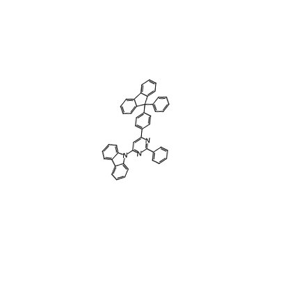 c1ccc(-c2nc(-c3ccc(C4(c5ccccc5)c5ccccc5-c5ccccc54)cc3)cc(-n3c4ccccc4c4ccccc43)n2)cc1